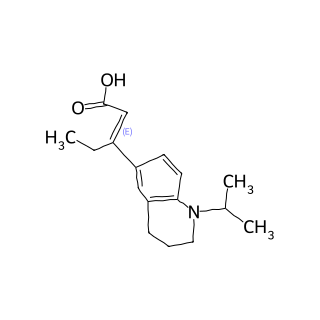 CC/C(=C\C(=O)O)c1ccc2c(c1)CCCN2C(C)C